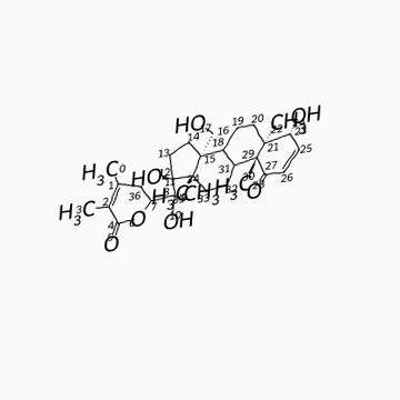 CC1=C(C)C(=O)OC([C@](C)(O)[C@]2(O)CC[C@@]3(CO)C4CC[C@@]5(C)[C@H](O)C=CC(=O)[C@]5(C)C4CC[C@@]32C)C1